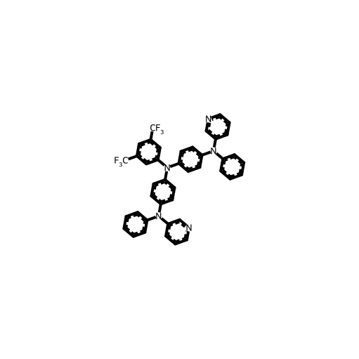 FC(F)(F)c1cc(N(c2ccc(N(c3ccccc3)c3cccnc3)cc2)c2ccc(N(c3ccccc3)c3cccnc3)cc2)cc(C(F)(F)F)c1